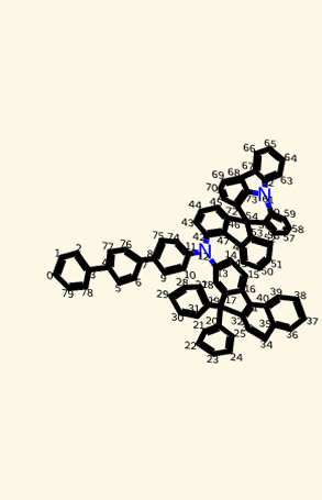 c1ccc(-c2ccc(-c3ccc(N(c4ccc5c(c4)C(c4ccccc4)(c4ccccc4)c4ccc6ccccc6c4-5)c4cccc5c4-c4ccccc4C54c5ccccc5-n5c6ccccc6c6cccc4c65)cc3)cc2)cc1